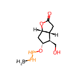 BPPO[C@@H]1C[C@@H]2OC(=O)C[C@@H]2[C@H]1CO